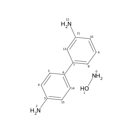 NO.Nc1ccc(-c2cccc(N)c2)cc1